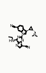 CCNc1nc(-n2cc([C@H]3C[C@@H]3CN(C)C)c3ccc(C#N)cc32)nn2c(C#N)cnc12